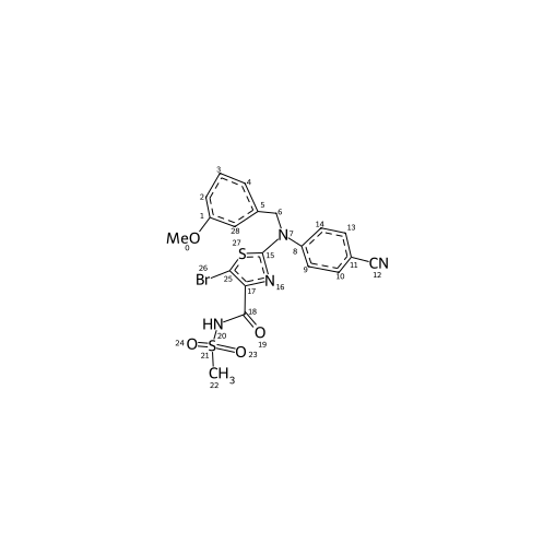 COc1cccc(CN(c2ccc(C#N)cc2)c2nc(C(=O)NS(C)(=O)=O)c(Br)s2)c1